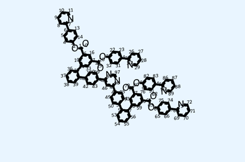 O=C(Oc1ccc(-c2ccccn2)cc1)c1cc(C(=O)Oc2ccc(-c3ccccn3)cc2)cc(-c2ccccc2-c2ccc(-c3cc(-c4ccc(-c5ccccc5-c5cc(C(=O)Oc6ccc(-c7ccccn7)cc6)cc(C(=O)Oc6ccc(-c7ccccn7)cc6)c5)cc4)ncn3)cc2)c1